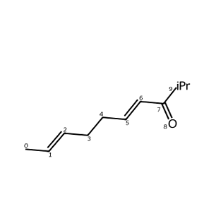 CC=CCCC=CC(=O)C(C)C